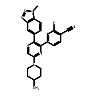 Cn1nnc2cc(-c3ncc(N4CCC(N)CC4)nc3-c3ccc(C#N)c(F)c3)ccc21